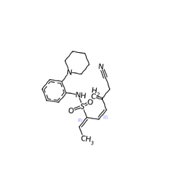 C=C(/C=C\C(=C/C)S(=O)(=O)Nc1ccccc1N1CCCCC1)CC#N